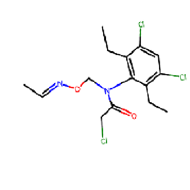 C/C=N/OCN(C(=O)CCl)c1c(CC)c(Cl)cc(Cl)c1CC